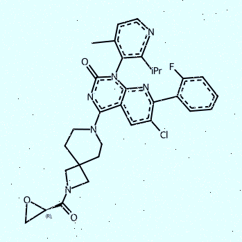 Cc1ccnc(C(C)C)c1-n1c(=O)nc(N2CCC3(CC2)CN(C(=O)[C@H]2CO2)C3)c2cc(Cl)c(-c3ccccc3F)nc21